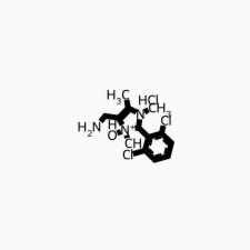 CC1=C(CN)[N+](C)(O)C(c2c(Cl)cccc2Cl)N1C.Cl